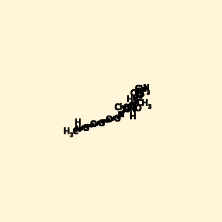 CNCCOCCOCCOCCOCCOC1CC(c2cc3[nH]c(=O)c([C@@H](C)Nc4ccc(C#N)n(C)c4=O)cc3cc2Cl)C1